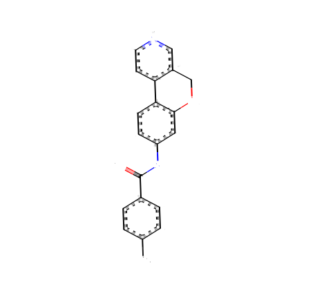 N#Cc1ccc(C(=O)Nc2ccc3c(c2)OCc2cnccc2-3)cc1